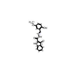 COc1ccc(O)c(/C=N/NC(=O)c2[nH]c3ccccc3c2Cl)c1